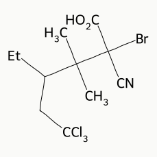 CCC(CC(Cl)(Cl)Cl)C(C)(C)C(Br)(C#N)C(=O)O